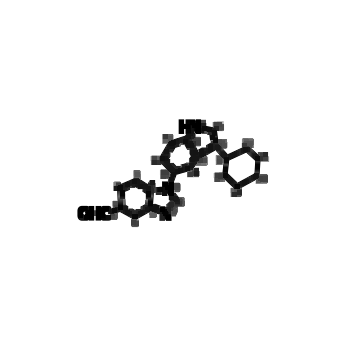 O=Cc1ccc2c(c1)ncn2-c1ccc2[nH]cc(C3CCCCC3)c2c1